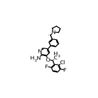 C[C@@H](Oc1cc(-c2cccc([CH]N3CCCC3)c2)cnc1N)c1c(F)ccc(F)c1Cl